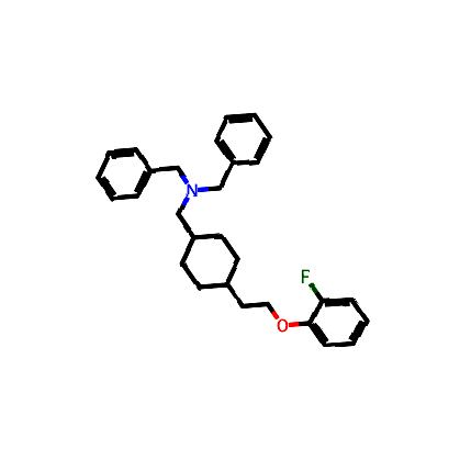 Fc1ccccc1OCCC1CCC(CN(Cc2ccccc2)Cc2ccccc2)CC1